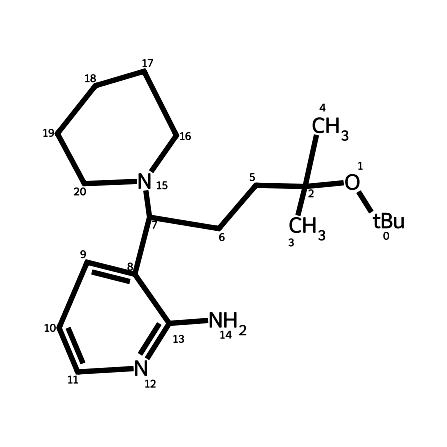 CC(C)(C)OC(C)(C)CCC(c1cccnc1N)N1CCCCC1